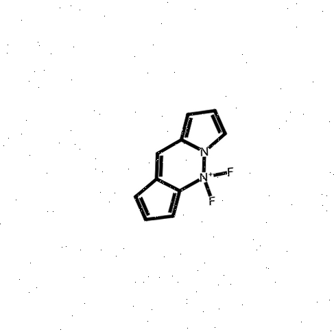 F[N+]1(F)C2=CC=CC2=Cc2cccn21